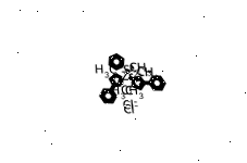 CC1=[C]([Zr+2]([C]2=C(C)C(c3ccccc3)=CC2C)=[Si](C)c2ccccc2)C(C)C=C1c1ccccc1.[Cl-].[Cl-]